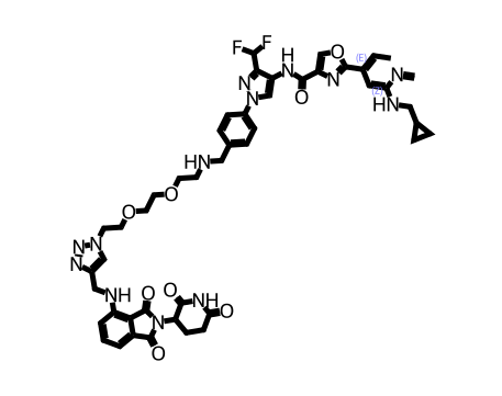 C=N/C(=C\C(=C/C)c1nc(C(=O)Nc2cn(-c3ccc(CNCCOCCOCCn4cc(CNc5cccc6c5C(=O)N(C5CCC(=O)NC5=O)C6=O)nn4)cc3)nc2C(F)F)co1)NCC1CC1